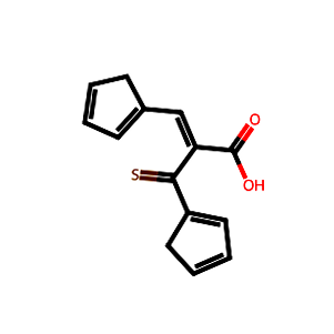 O=C(O)C(=CC1=CC=CC1)C(=S)C1=CC=CC1